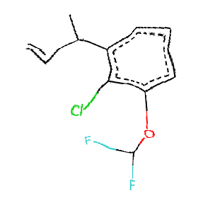 C=C[C](C)c1cccc(OC(F)F)c1Cl